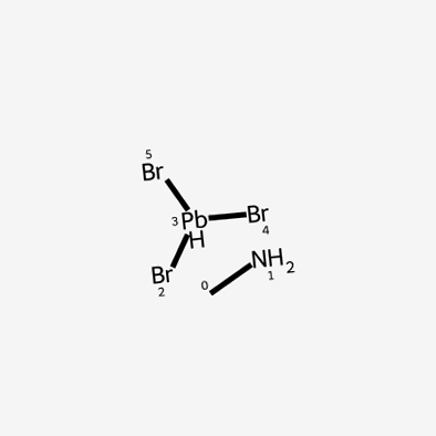 CN.[Br][PbH]([Br])[Br]